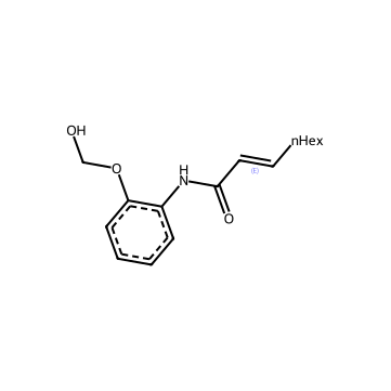 CCCCCC/C=C/C(=O)Nc1ccccc1OCO